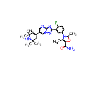 CC1=C(C(N)=O)OC(C)N1c1ccc(F)c(-c2nc3ncc(C4=CC(C)(C)NC(C)(C)C4)cn3n2)c1